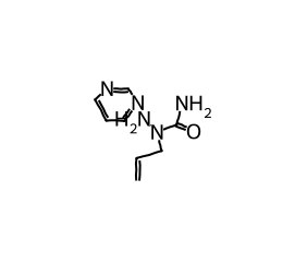 C=CCN(N)C(N)=O.c1cncnc1